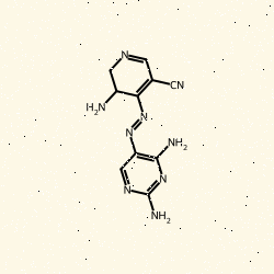 N#CC1=C(/N=N/c2cnc(N)nc2N)C(N)CN=C1